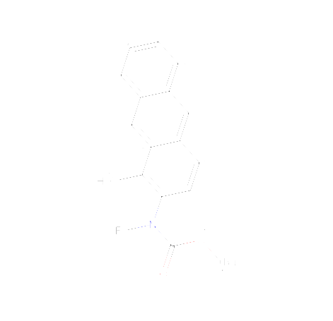 CCN(C(=O)OC(C)(C)C)c1ccc2cc3ccccc3cc2c1C